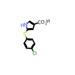 O=C(O)c1c[nH]c(Sc2ccc(Cl)cc2)c1